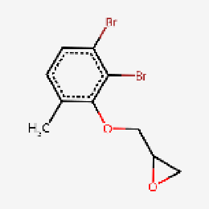 Cc1ccc(Br)c(Br)c1OCC1CO1